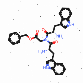 N[C@@H](Cc1c[nH]c2ccccc12)C(=O)N(CC(=O)OCc1ccccc1)C(=O)[C@@H](N)Cc1c[nH]c2ccccc12